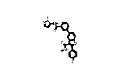 CNC(=O)c1c(-c2ccc(F)cc2)oc2ccc(-c3cccc(C(=O)Nc4ccn[nH]4)c3)cc12